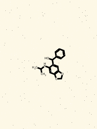 CC(C)Nc1cc2c(cc1C(O)c1ccccc1)OCO2